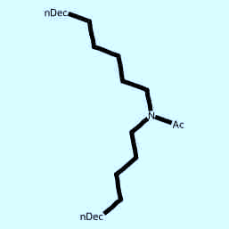 CCCCCCCCCCCCCCCN(CCCCCCCCCCCCCC)C(C)=O